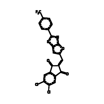 O=C1C(=Cc2cc3sc(-c4ccc(C(F)(F)F)cc4)nc3o2)C(=O)c2cc(Cl)c(Cl)cc21